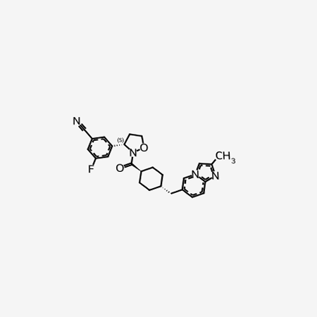 Cc1cn2cc(C[C@H]3CC[C@H](C(=O)N4OCC[C@H]4c4cc(F)cc(C#N)c4)CC3)ccc2n1